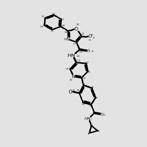 O=C(NC1CC1)c1ccc(-c2ccc(NC(=O)c3nc(-c4ccccc4)oc3C(F)(F)F)cn2)c(Cl)c1